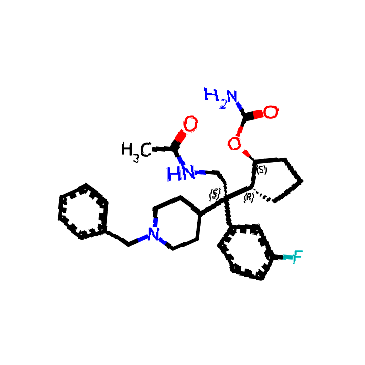 CC(=O)NC[C@@](c1cccc(F)c1)(C1CCN(Cc2ccccc2)CC1)[C@H]1CCC[C@@H]1OC(N)=O